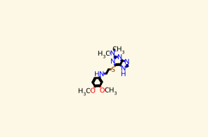 COc1ccc(NCCSc2nc(N(C)C)nc3nc[nH]c23)cc1OC